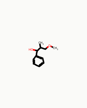 COCC(C)C(O)c1ccccc1